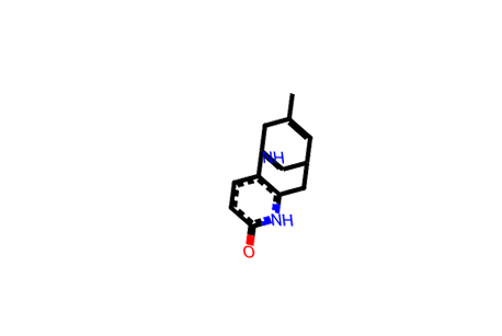 CC1=CC2Cc3[nH]c(=O)ccc3C3(C1)NCCCC23